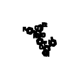 CCN(C)/C=C(/C(=O)Nc1ccc(Oc2cc(-c3cccc(C)n3)cn3nccc23)c(F)c1)C(=O)N(C=O)c1ccc(F)cc1